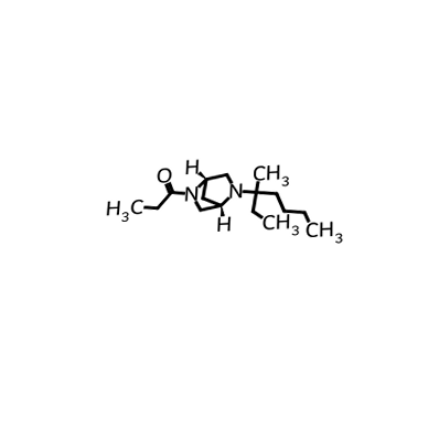 CCCCC(C)(CC)N1C[C@@H]2C[C@H]1CN2C(=O)CC